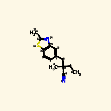 CCC(C)(C#N)Cc1ccc2sc(C)nc2c1